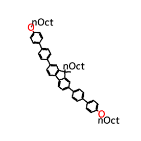 CCCCCCCCOc1ccc(-c2ccc(-c3ccc4c(c3)C(C)(CCCCCCCC)c3cc(-c5ccc(-c6ccc(OCCCCCCCC)cc6)cc5)ccc3-4)cc2)cc1